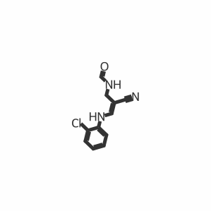 N#C/C(=C/Nc1ccccc1Cl)CNC=O